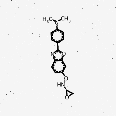 CN(C)c1ccc(-c2nc3ccc(ON[C@H]4CO4)cc3o2)cc1